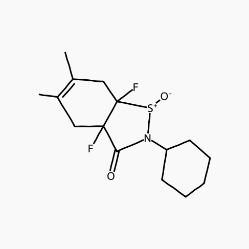 CC1=C(C)CC2(F)[S+]([O-])N(C3CCCCC3)C(=O)C2(F)C1